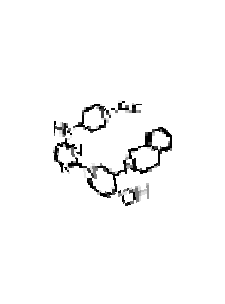 CC(=O)N1CCC(Nc2ccnc(N3CC[C@H](O)C(N4CCc5ccccc5C4)C3)n2)CC1